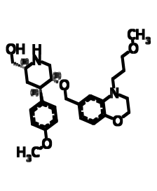 COCCCN1CCOc2ccc(CO[C@H]3CN[C@@H](CO)C[C@@H]3c3ccc(OC)cc3)cc21